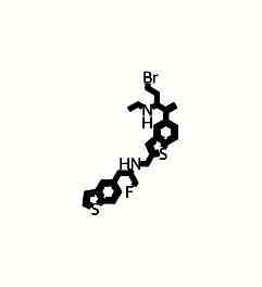 C=C(c1ccc2sc(CNC(CF)Cc3ccc4sccc4c3)cc2c1)C(CCBr)NCC